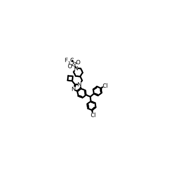 O=S(=O)(N1CCC(Cn2c(C3CCC3)nc3ccc(C(c4ccc(Cl)cc4)c4ccc(Cl)cc4)cc32)CC1)C(F)(F)F